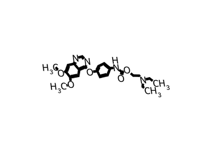 CCN(CC)CCOC(=O)Nc1ccc(Oc2ncnc3cc(OC)c(OC)cc23)cc1